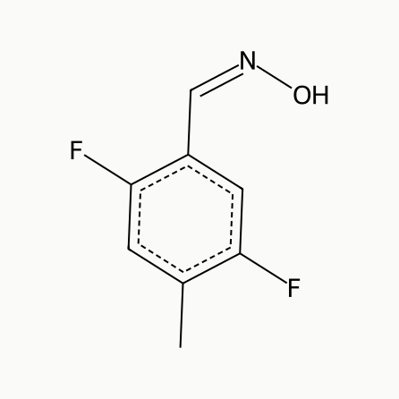 Cc1cc(F)c(/C=N\O)cc1F